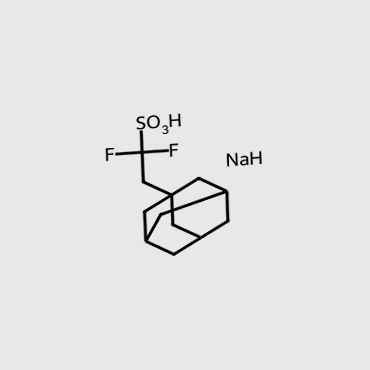 O=S(=O)(O)C(F)(F)CC12CC3CC(CC(C3)C1)C2.[NaH]